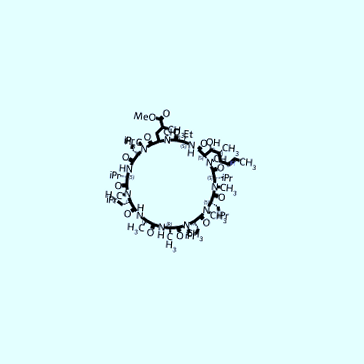 C/C=C/C[C@@H](C)[C@@H](O)[C@H]1C(=O)N[C@@H](CC)C(=O)N(C)C(CC(C)C(=O)OC)C(=O)N(C)[C@@H](CC(C)C)C(=O)N[C@@H](C(C)C)C(=O)N(C)[C@@H](CC(C)C)C(=O)N[C@@H](C)C(=O)N[C@H](C)C(=O)N(C)[C@@H](CC(C)C)C(=O)N(C)[C@@H](CC(C)C)C(=O)N(C)[C@@H](C(C)C)C(=O)N1C